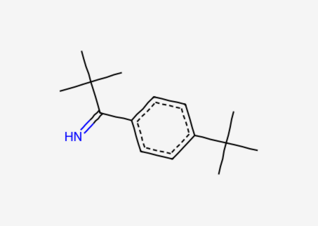 CC(C)(C)C(=N)c1ccc(C(C)(C)C)cc1